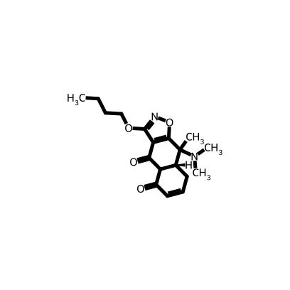 CCCCOc1noc2c1C(=O)C1C(=O)C=CC[C@H]1C2(C)N(C)C